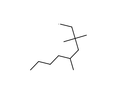 [CH2]CC(C)(C)CC(C)CCCC